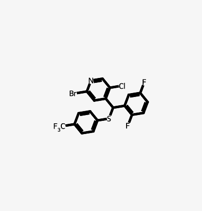 Fc1ccc(F)c(C(Sc2ccc(C(F)(F)F)cc2)c2cc(Br)ncc2Cl)c1